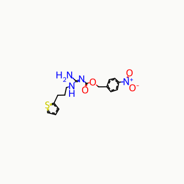 NC(=NC(=O)OCc1ccc([N+](=O)[O-])cc1)NCCCc1cccs1